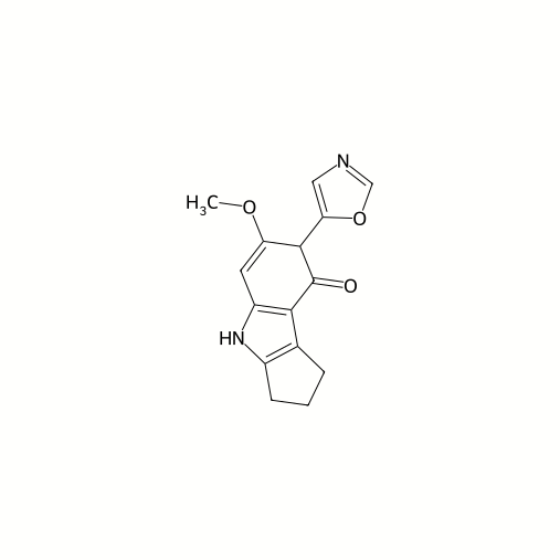 COC1=Cc2[nH]c3c(c2C(=O)C1c1cnco1)CCC3